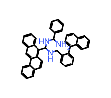 NC(NC(NCc1ccccc1-c1cccc2ccccc12)c1c2ccccc2cc2c1ccc1ccccc12)c1ccccc1